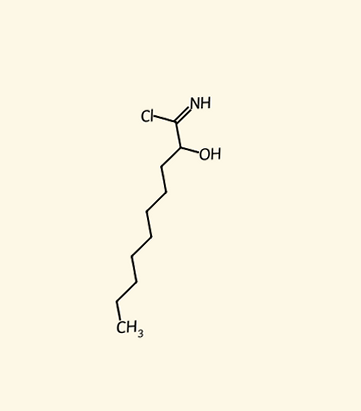 CCCCCCCCC(O)C(=N)Cl